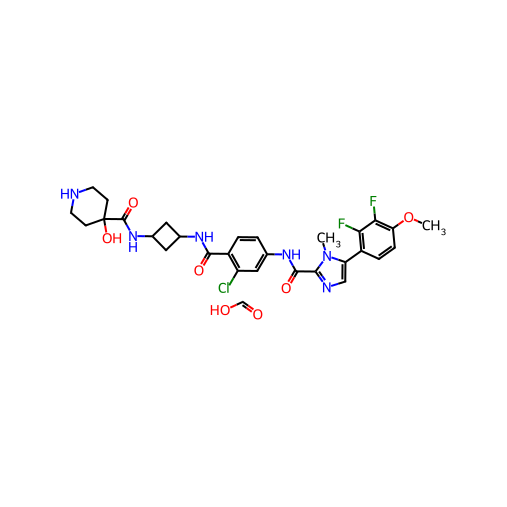 COc1ccc(-c2cnc(C(=O)Nc3ccc(C(=O)NC4CC(NC(=O)C5(O)CCNCC5)C4)c(Cl)c3)n2C)c(F)c1F.O=CO